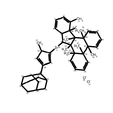 CC1=CC=CC2[CH]([Zr+2][C]3=CC(C4C5CC6CC(C5)CC4C6)=CC3C)C3(C)C4(C)C=CC=CC4(C)C4(C)C=CC=CC4(C)C3(C)C12C.[Cl-].[Cl-]